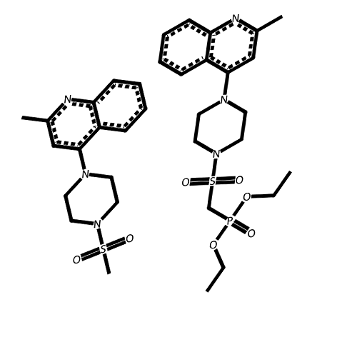 CCOP(=O)(CS(=O)(=O)N1CCN(c2cc(C)nc3ccccc23)CC1)OCC.Cc1cc(N2CCN(S(C)(=O)=O)CC2)c2ccccc2n1